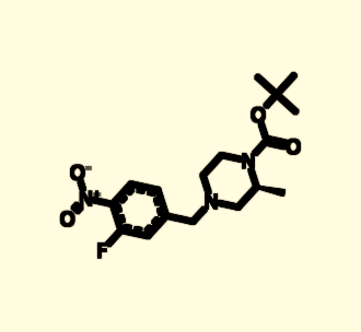 C[C@H]1CN(Cc2ccc([N+](=O)[O-])c(F)c2)CCN1C(=O)OC(C)(C)C